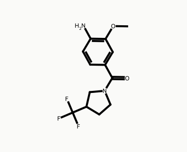 COc1cc(C(=O)N2CCC(C(F)(F)F)C2)ccc1N